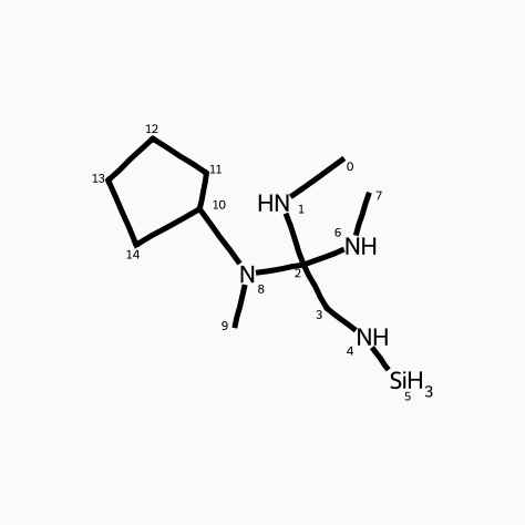 CNC(CN[SiH3])(NC)N(C)C1CCCC1